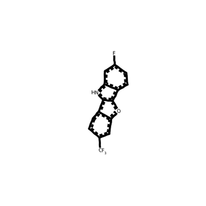 Fc1ccc2c(c1)[nH]c1c3ccc(C(F)(F)F)cc3oc21